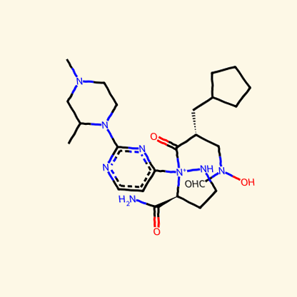 CC1CN(C)CCN1c1nccc([N+]2(C(=O)[C@H](CC3CCCC3)CN(O)C=O)NCC[C@H]2C(N)=O)n1